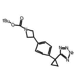 CC(C)(C)OC(=O)N1CC(c2ccc(C3(c4nn[nH]n4)CC3)cc2)C1